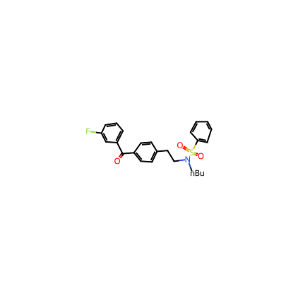 CCCCN(CCc1ccc(C(=O)c2cccc(F)c2)cc1)S(=O)(=O)c1ccccc1